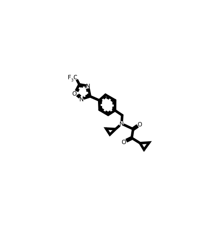 O=C(C(=O)N(Cc1ccc(-c2noc(C(F)(F)F)n2)cc1)C1CC1)C1CC1